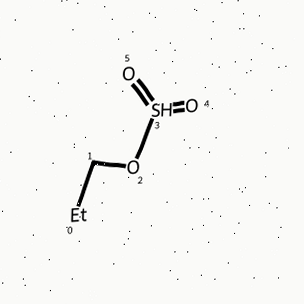 [CH2]CCO[SH](=O)=O